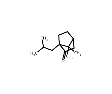 CC(C)CC12CCC(CC1=O)C2(C)C